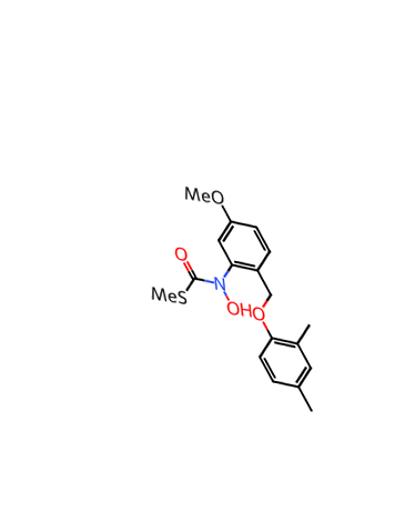 COc1ccc(COc2ccc(C)cc2C)c(N(O)C(=O)SC)c1